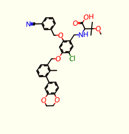 COC(C)(C)C(NCc1cc(Cl)c(OCc2cccc(-c3ccc4c(c3)OCCO4)c2C)cc1OCc1cccc(C#N)c1)C(=O)O